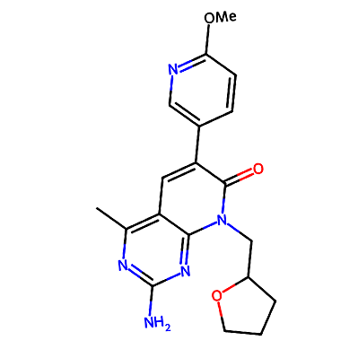 COc1ccc(-c2cc3c(C)nc(N)nc3n(CC3CCCO3)c2=O)cn1